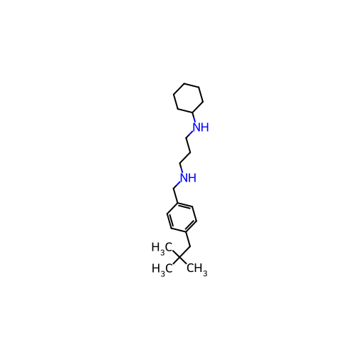 CC(C)(C)Cc1ccc(CNCCCNC2CCCCC2)cc1